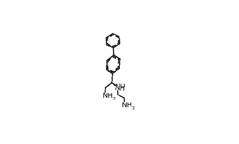 NCCNC(CN)c1ccc(-c2ccccc2)cc1